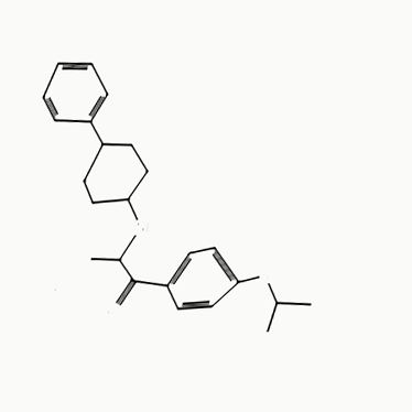 CC(C)Sc1ccc(C(=O)C(C)NC2CCC(c3ccccc3)CC2)cc1.Cl